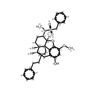 COc1cc(O)c2c3c1O[C@H]1[C@H](N(C)S(=O)(=O)Cc4ccccc4)CC[C@H]4[C@@H](C2)N(CCc2ccccc2)CC[C@@]341